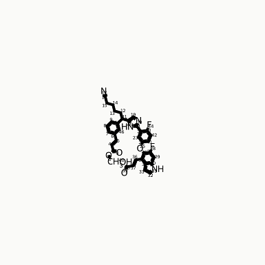 COC(=O)/C=C/c1cccc(C(CCCCC#N)c2cnc(-c3cc(Oc4c(F)cc5[nH]ccc5c4/C=C/C(=O)O)ccc3F)[nH]2)c1